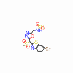 CS(=O)(=O)C(c1nnc(CN[SH](=O)=O)o1)c1nc2ccc(Br)cc2s1